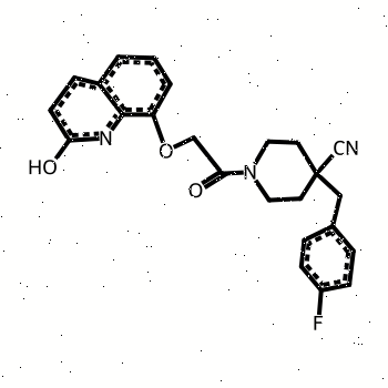 N#CC1(Cc2ccc(F)cc2)CCN(C(=O)COc2cccc3ccc(O)nc23)CC1